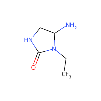 NC1CNC(=O)N1CC(F)(F)F